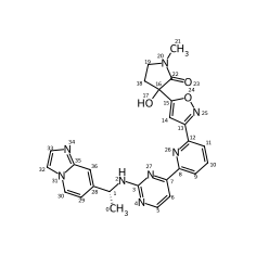 C[C@@H](Nc1nccc(-c2cccc(-c3cc(C4(O)CCN(C)C4=O)on3)n2)n1)c1ccn2ccnc2c1